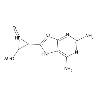 COC1C(C2=[N+]c3nc(N)nc(N)c3N2)[PH]1=O